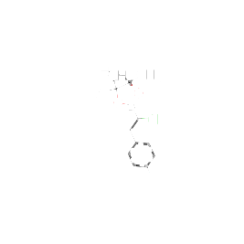 CC1(C)OB(C(Cl)=Cc2ccc(F)cc2)OC1(C)C